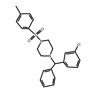 Cc1ccc(S(=O)(=O)N2CCN(C(c3ccccc3)c3cccc(Cl)c3)CC2)cc1